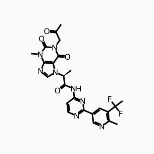 CC(=O)Cn1c(=O)c2c(ncn2[C@@H](C)C(=O)Nc2ccnc(-c3cnc(C)c(C(C)(F)F)c3)n2)n(C)c1=O